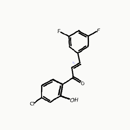 O=C(/C=C/c1cc(F)cc(F)c1)c1ccc(Cl)cc1O